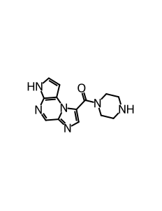 O=C(c1cnc2cnc3[nH]ccc3n12)N1CCNCC1